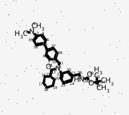 CN(C)c1ccc(-c2ccc(CN(C(=O)C3CCCCC3)c3cccc(CNC(=O)OC(C)(C)C)c3)cc2)cc1